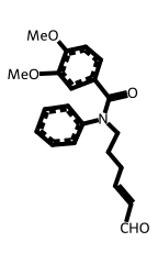 COc1ccc(C(=O)N(CCCC=CC=O)c2ccccc2)cc1OC